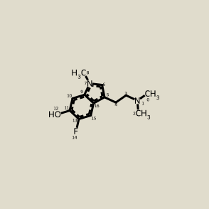 CN(C)CCc1cn(C)c2cc(O)c(F)cc12